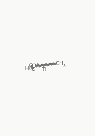 CCCCCCCCCCCCOS(=O)(=O)O.[Ti]